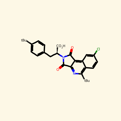 CC(C)(C)c1ccc(C[C@@H](C(=O)O)N2C(=O)c3nc(C(C)(C)C)c4ccc(Cl)cc4c3C2=O)cc1